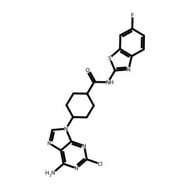 Nc1nc(Cl)nc2c1ncn2C1CCC(C(=O)Nc2nc3ccc(F)cc3s2)CC1